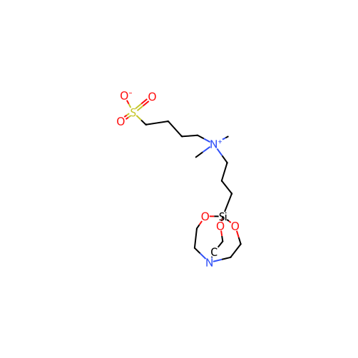 C[N+](C)(CCCCS(=O)(=O)[O-])CCC[Si]12OCCN(CCO1)CCO2